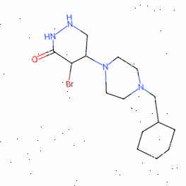 O=C1NNCC(N2CCN(CC3CCCCC3)CC2)C1Br